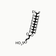 CCC(F)C(F)(F)C(F)(F)C(F)(F)C(F)(F)C(F)(F)C(F)(F)C(F)(F)OC(=O)CCOS(=O)(=O)O